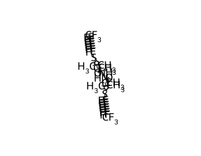 Cc1cc(CSCCC(F)(F)C(F)(F)C(F)(F)C(F)(F)C(F)(F)C(F)(F)C(F)(F)C(F)(F)F)cc(C)c1OC(C)C(=O)NCCNC(=O)C(C)Oc1c(C)cc(CSCCC(F)(F)C(F)(F)C(F)(F)C(F)(F)C(F)(F)C(F)(F)C(F)(F)C(F)(F)F)cc1C